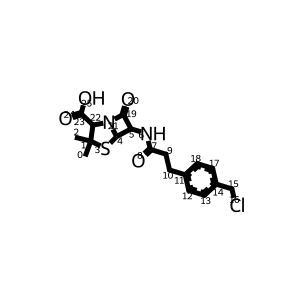 CC1(C)SC2C(NC(=O)CCc3ccc(CCl)cc3)C(=O)N2C1C(=O)O